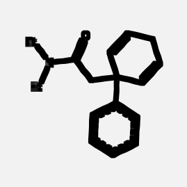 CCN(CC)C(=O)CC1(c2ccccc2)C=CCC=C1